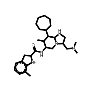 Cc1cccc2c1NC(C(=O)NC1CN3C(CN(C)C)CNC3C(C3CCCCCC3)C1C)C2